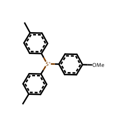 COc1ccc([S+](c2ccc(C)cc2)c2ccc(C)cc2)cc1